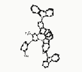 N#Cc1cccc(-c2cc(-n3c4ccccc4c4cc(-n5c6ccccc6c6ccccc65)ccc43)c(-n3c4ccccc4c4cc(-n5c6ccccc6c6ccccc65)ccc43)cc2C(F)(F)F)c1